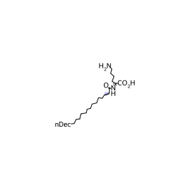 CCCCCCCCCCCCCCCCCCCCC/C=C/C(=O)N[C@@H](CCCCN)C(=O)O